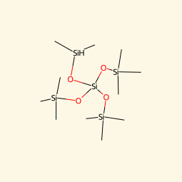 C[SiH](C)O[Si](O[Si](C)(C)C)(O[Si](C)(C)C)O[Si](C)(C)C